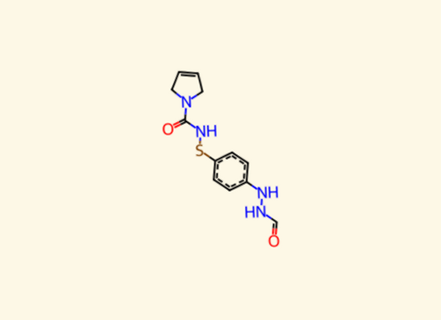 O=CNNc1ccc(SNC(=O)N2CC=CC2)cc1